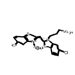 CCCC[n+]1c(/C=C2\Sc3ccc(Cl)cc3N2CCCS(=O)(=O)O)sc2ccc(Cl)cc21